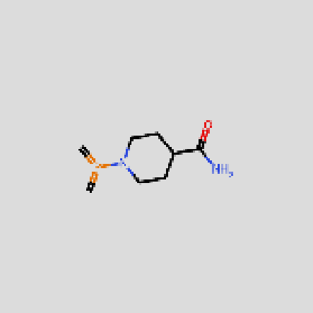 C=P(=C)N1CCC(C(N)=O)CC1